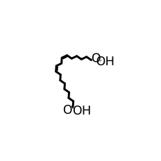 O=C(O)CCCCCCC/C=C\C/C=C\CCCCCOO